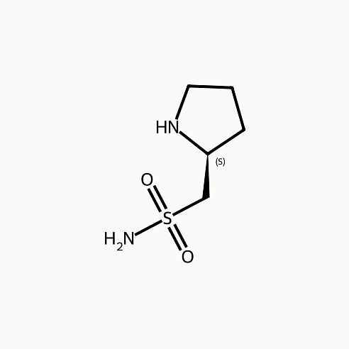 NS(=O)(=O)C[C@@H]1CCCN1